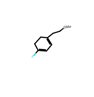 COCCC1=CC=C(F)CC1